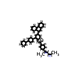 C/C=C\C=C(/C)c1ccc(-c2nc3c(-c4ccc(-c5cccnc5)cc4)cc(-c4cc5ccccc5c5c4C=C=C=C5)cc3o2)cc1